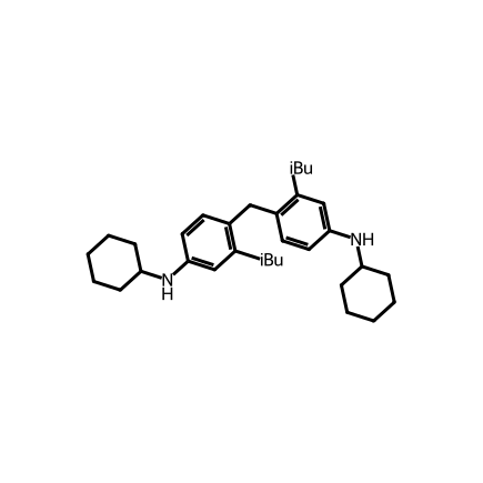 CCC(C)c1cc(NC2CCCCC2)ccc1Cc1ccc(NC2CCCCC2)cc1C(C)CC